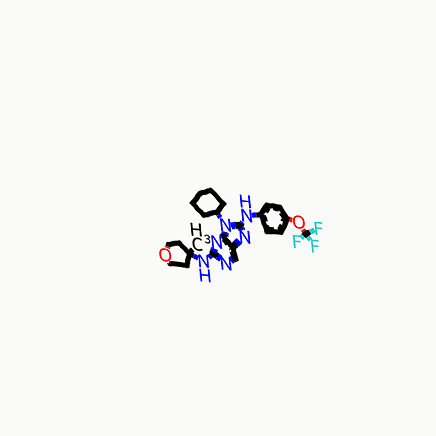 CC1(Nc2ncc3nc(Nc4ccc(OC(F)(F)F)cc4)n(C4CCCCC4)c3n2)CCOCC1